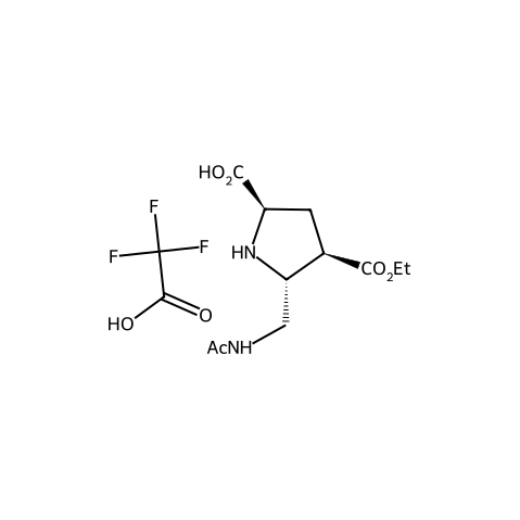 CCOC(=O)[C@@H]1C[C@H](C(=O)O)N[C@H]1CNC(C)=O.O=C(O)C(F)(F)F